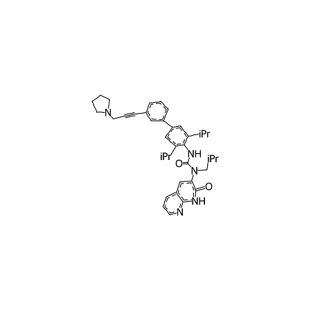 CC(C)CN(C(=O)Nc1c(C(C)C)cc(-c2cccc(C#CCN3CCCC3)c2)cc1C(C)C)c1cc2cccnc2[nH]c1=O